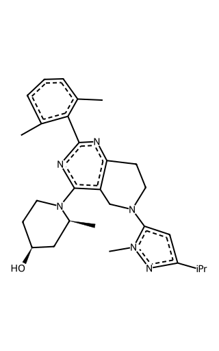 Cc1cccc(C)c1-c1nc2c(c(N3CC[C@H](O)C[C@@H]3C)n1)CN(c1cc(C(C)C)nn1C)CC2